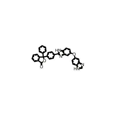 O=C1OC(c2ccccc2)(c2ccc(-c3nc4cc(Oc5ccc6[nH]cnc6c5)ccc4[nH]3)cc2)c2ccccc21